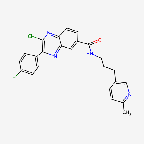 Cc1ccc(CCCNC(=O)c2ccc3nc(Cl)c(-c4ccc(F)cc4)nc3c2)cn1